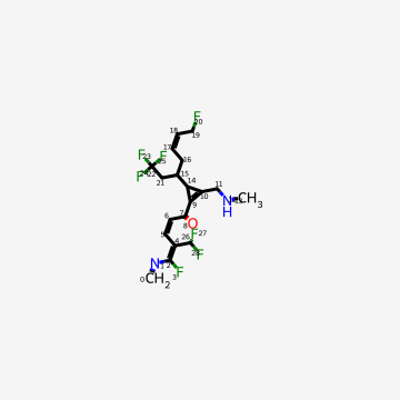 C=N/C(F)=C(\C=C/C(=O)C1=C(CNC)C1C(C/C=C\CF)CC(F)(F)F)C(F)F